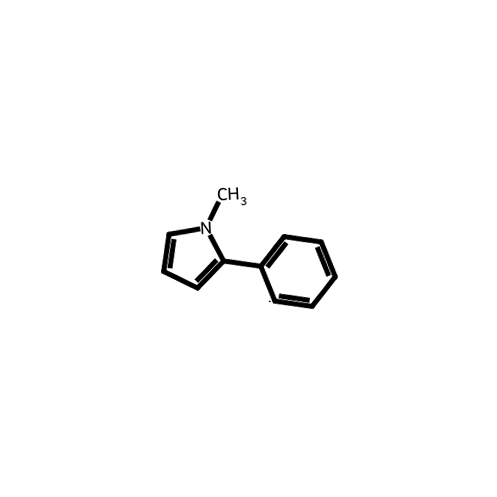 Cn1cccc1-c1[c]cccc1